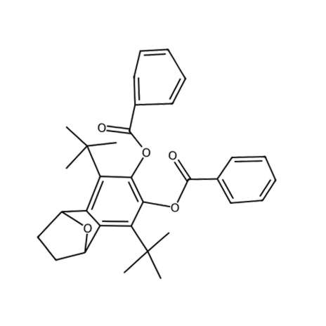 CC(C)(C)c1c(OC(=O)c2ccccc2)c(OC(=O)c2ccccc2)c(C(C)(C)C)c2c1C1CCC2O1